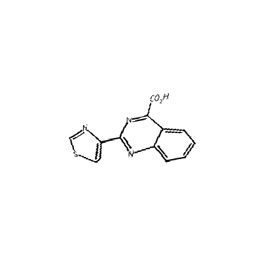 O=C(O)c1nc(-c2cscn2)nc2ccccc12